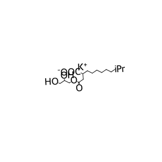 CC(C)CCCCCCC(CC(=O)OCC(O)CO)C(=O)[O-].[K+]